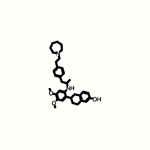 COc1cc(NC(C)Cc2ccc(CCN3CCCCCC3)cc2)c(C2CCc3cc(O)ccc3C2)cc1OC